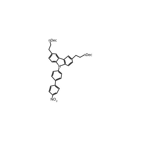 CCCCCCCCCCCCc1ccc2c(c1)c1cc(CCCCCCCCCCCC)ccc1n2-c1ccc(-c2ccc([N+](=O)[O-])cc2)cc1